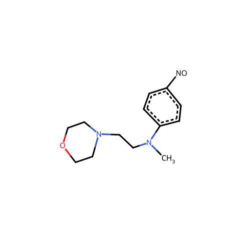 CN(CCN1CCOCC1)c1ccc(N=O)cc1